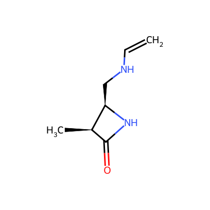 C=CNC[C@H]1NC(=O)[C@H]1C